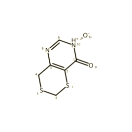 O=C1C2=C(CSCS2)N=C[N@@H+]1[O-]